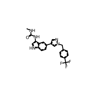 CNC(=O)Nc1c[nH]c2ccc(-c3cnn(Cc4ccc(C(F)(F)F)cc4)c3)cc12